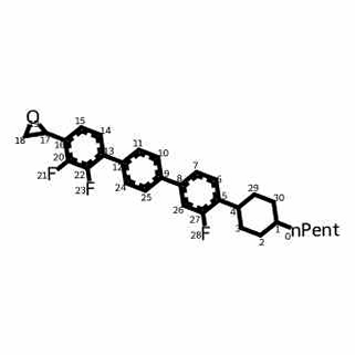 CCCCCC1CCC(c2ccc(-c3ccc(-c4ccc(C5CO5)c(F)c4F)cc3)cc2F)CC1